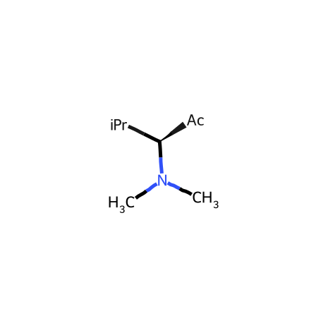 CC(=O)[C@H](C(C)C)N(C)C